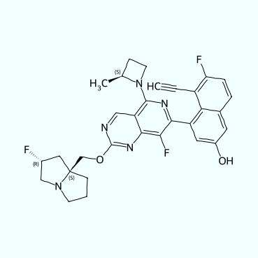 C#Cc1c(F)ccc2cc(O)cc(-c3nc(N4CC[C@@H]4C)c4cnc(OC[C@@]56CCCN5C[C@H](F)C6)nc4c3F)c12